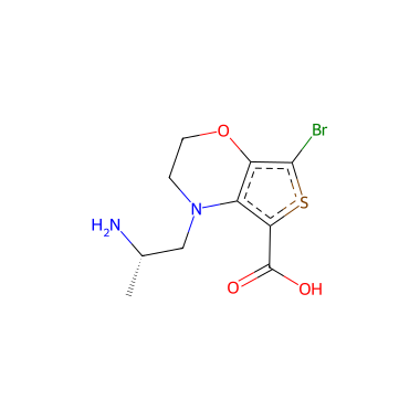 C[C@H](N)CN1CCOc2c(Br)sc(C(=O)O)c21